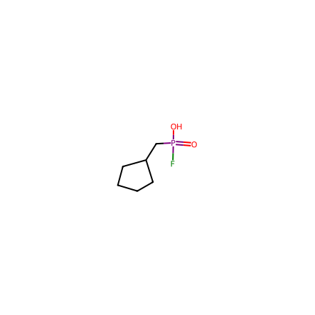 O=P(O)(F)CC1CCCC1